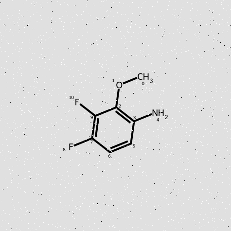 COc1c(N)ccc(F)c1F